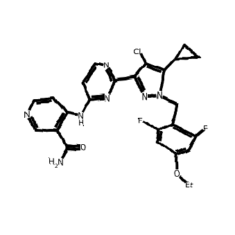 CCOc1cc(F)c(Cn2nc(-c3nccc(Nc4ccncc4C(N)=O)n3)c(Cl)c2C2CC2)c(F)c1